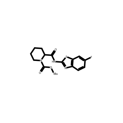 CC(C)(C)OC(=O)N1CCCCC1C(=O)Nc1nc2ccc(F)cc2s1